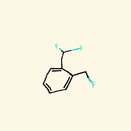 FCc1ccccc1C(F)F